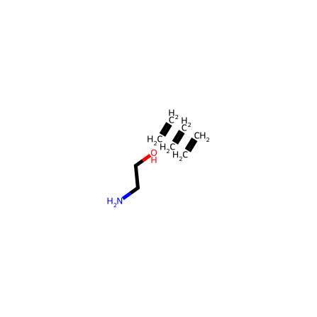 C=C.C=C.C=C.NCCO